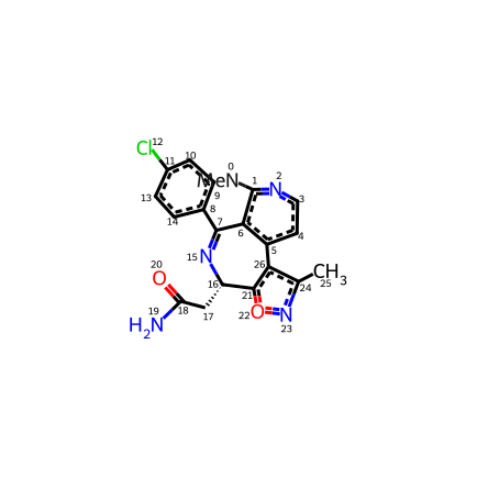 CNc1nccc2c1C(c1ccc(Cl)cc1)=N[C@@H](CC(N)=O)c1onc(C)c1-2